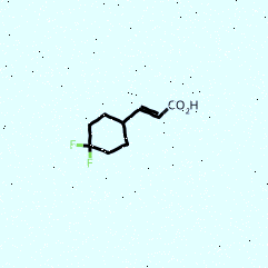 O=C(O)C=CC1CCC(F)(F)CC1